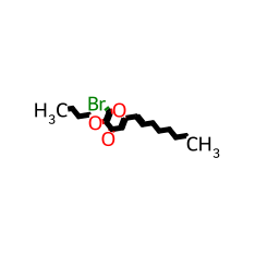 CCCCCCC=Cc1cc(=O)c(OCCCC)c(Br)o1